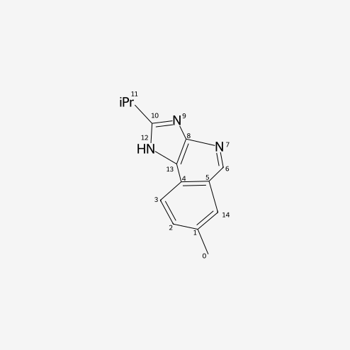 Cc1ccc2c(cnc3nc(C(C)C)[nH]c32)c1